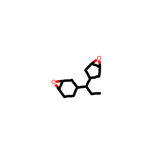 CCC(C1CCC2OC2C1)C1CC2OC2C1